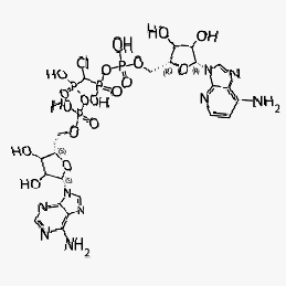 Nc1ccnc2c1ncn2[C@@H]1O[C@H](COP(=O)(O)OP(=O)(O)C(Cl)P(=O)(O)OP(=O)(O)OC[C@@H]2O[C@H](n3cnc4c(N)ncnc43)C(O)C2O)C(O)C1O